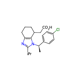 CC(C)c1nc2c(n1[C@H](C)c1ccc(Cl)cc1)C(CC(=O)O)CCC2